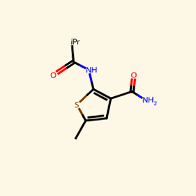 Cc1cc(C(N)=O)c(NC(=O)C(C)C)s1